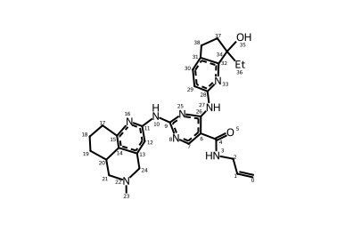 C=CCNC(=O)c1cnc(Nc2cc3c4c(n2)CCCC4CN(C)C3)nc1Nc1ccc2c(n1)C(O)(CC)CC2